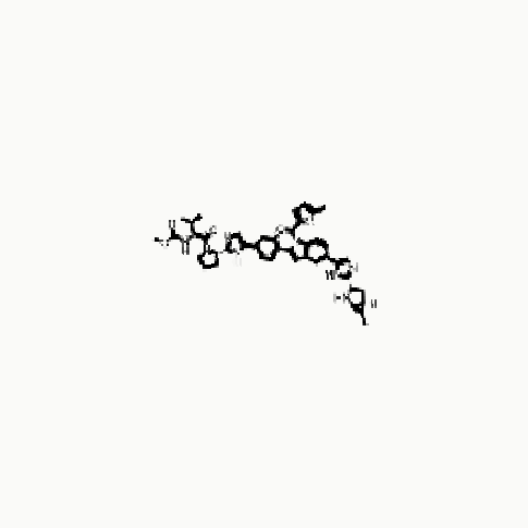 COC(=O)N[C@H](C(=O)N1CCC[C@H]1c1ncc(-c2ccc3c(c2)OC(c2ccc(C)o2)n2c-3cc3cc(-c4cnc([C@@H]5C[C@H]6C(C)=C6N5)[nH]4)ccc32)[nH]1)C(C)C